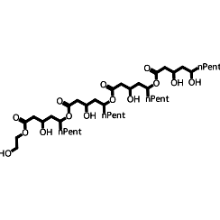 CCCCCC(O)CC(O)CC(=O)OC(CCCCC)CC(O)CC(=O)OC(CCCCC)CC(O)CC(=O)OC(CCCCC)CC(O)CC(=O)OCCO